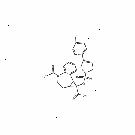 CC(=O)N1CCC2C(c3ccccc31)C2(NS(=O)(=O)C1CC=C(c2ccc(Cl)cc2)S1)C(=O)O